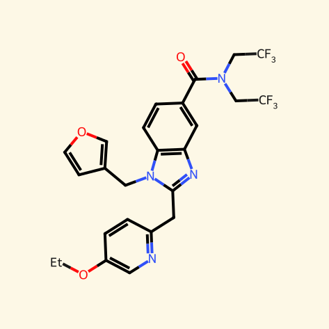 CCOc1ccc(Cc2nc3cc(C(=O)N(CC(F)(F)F)CC(F)(F)F)ccc3n2Cc2ccoc2)nc1